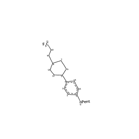 CCCCCc1ccc(C2CCC(CCC(F)(F)F)CC2)cc1